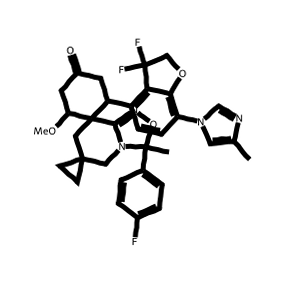 COC1CC(=O)CC(c2ccc(-n3cnc(C)c3)c3c2C(F)(F)CO3)C12CC1(CC1)CN1C2=NOC1(C)c1ccc(F)cc1